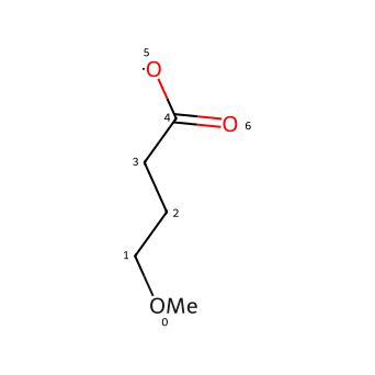 [CH2]OCCCC([O])=O